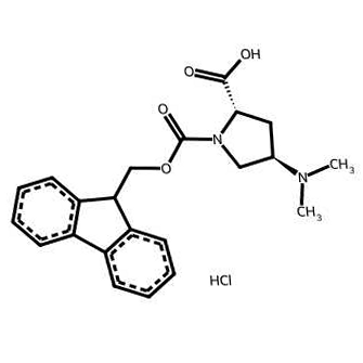 CN(C)[C@@H]1C[C@@H](C(=O)O)N(C(=O)OCC2c3ccccc3-c3ccccc32)C1.Cl